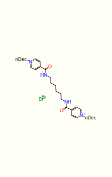 CCCCCCCCCC[n+]1ccc(C(=O)NCCCCCCNC(=O)c2cc[n+](CCCCCCCCCC)cc2)cc1.[Br-].[Br-]